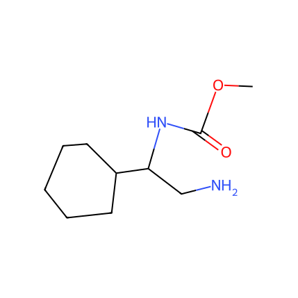 COC(=O)NC(CN)C1CCCCC1